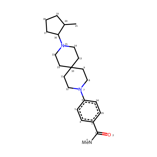 CNC(=O)c1ccc(N2CCC3(CC2)CCN(C2CCCC2C)CC3)cc1